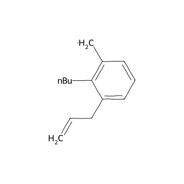 [CH2]c1cccc(CC=C)c1CCCC